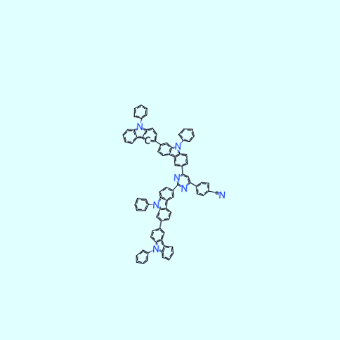 N#Cc1ccc(-c2cc(-c3ccc4c(c3)c3ccc(-c5ccc6c(c5)c5ccccc5n6-c5ccccc5)cc3n4-c3ccccc3)nc(-c3ccc4c(c3)c3ccc(-c5ccc6c(c5)c5ccccc5n6-c5ccccc5)cc3n4-c3ccccc3)n2)cc1